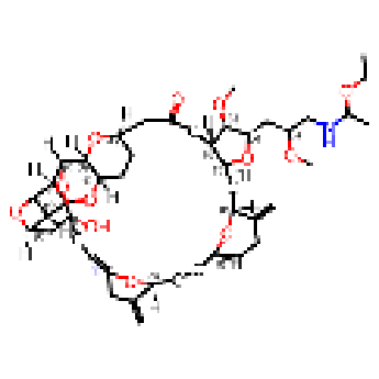 C=C1C/C2=C/C[C@@]3(O)C[C@H]4OC5[C@@H]6C(O[C@H]7CC[C@H](CC(=O)C[C@@H]8[C@@H](OC)[C@@H](C[C@@H](CNC(C)OCC)OC)O[C@H]8C[C@H]8O[C@H](CCC8=C)CC[C@@H]1O2)O[C@@H]7[C@@H]6O3)[C@@H]54